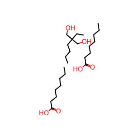 CCCCC(CC)(CO)CO.CCCCCCCC(=O)O.CCCCCCCC(=O)O